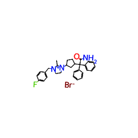 CC1=[N+](Cc2ccc(F)cc2)CCN1C1CCC(C(C(N)=O)(c2ccccc2)c2ccccc2)C1.[Br-]